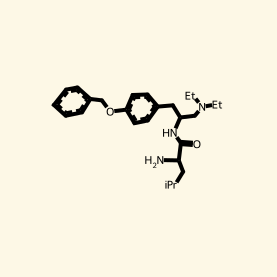 CCN(CC)CC(Cc1ccc(OCc2ccccc2)cc1)NC(=O)C(N)CC(C)C